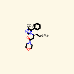 CCOC(=O)c1ncn([C@@H](CCSC)CC(=O)N2CCOCC2)c1-c1ccccc1